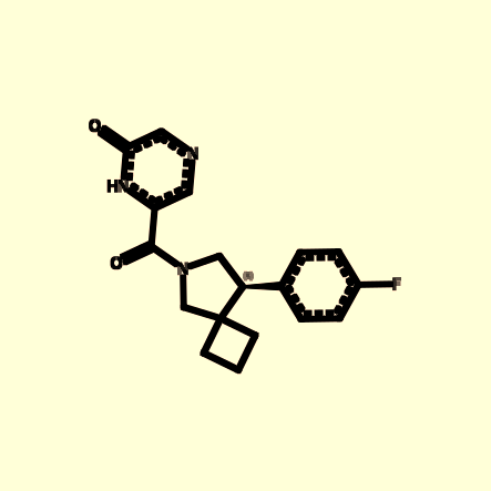 O=C(c1cncc(=O)[nH]1)N1C[C@@H](c2ccc(F)cc2)C2(CCC2)C1